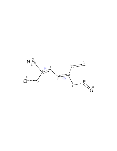 C=C/C(=C\C=C(\N)CCl)CC=O